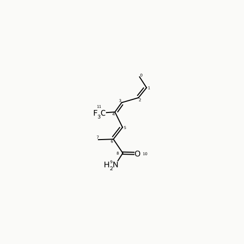 C\C=C/C=C(\C=C(/C)C(N)=O)C(F)(F)F